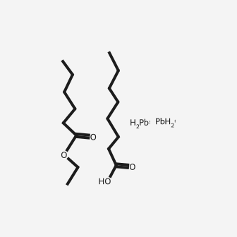 CCCCCC(=O)OCC.CCCCCCCC(=O)O.[PbH2].[PbH2]